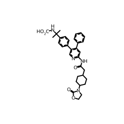 CC(C)(NC(=O)O)c1ccc(-c2cnc(NC(=O)CC3CCC(N4CCOC4=O)CC3)cc2-c2ccccc2)cc1